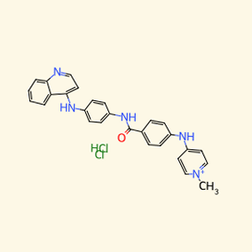 C[n+]1ccc(Nc2ccc(C(=O)Nc3ccc(Nc4ccnc5ccccc45)cc3)cc2)cc1.Cl.[Cl-]